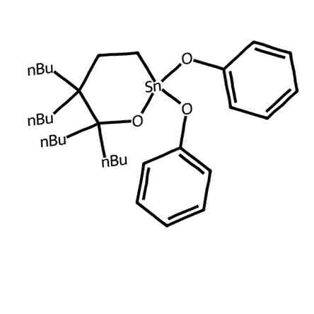 CCCCC1(CCCC)C[CH2][Sn]([O]c2ccccc2)([O]c2ccccc2)[O]C1(CCCC)CCCC